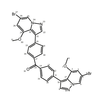 COc1cc(Br)cn2ncc(-c3ccc(C(=O)c4ccc(-c5cnn6cc(Br)cc(OC)c56)cc4)cc3)c12